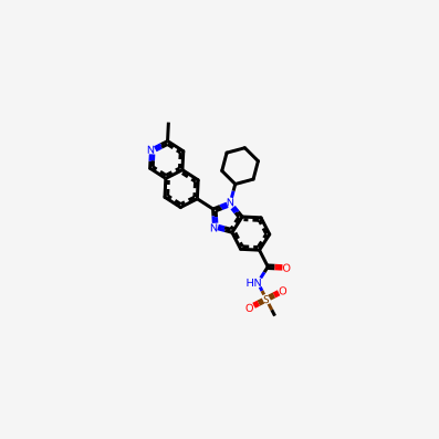 Cc1cc2cc(-c3nc4cc(C(=O)NS(C)(=O)=O)ccc4n3C3CCCCC3)ccc2cn1